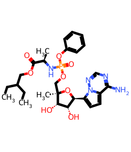 CCC(CC)COC(=O)[C@@H](C)NP(=O)(OC[C@@]1(C)O[C@@H](c2ccc3c(N)ncnn23)[C@H](O)[C@@H]1O)Oc1ccccc1